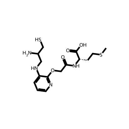 CSCC[C@H](NC(=O)COc1ncccc1NCC(N)CS)C(=O)O